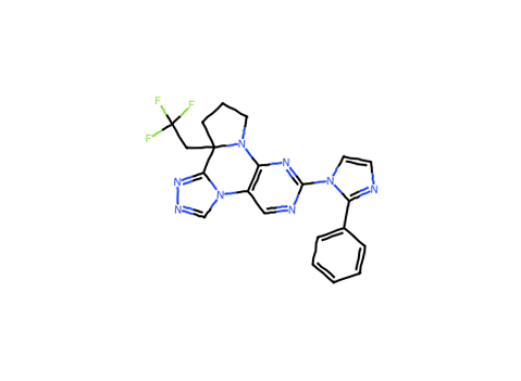 FC(F)(F)CC12CCCN1c1nc(-n3ccnc3-c3ccccc3)ncc1-n1cnnc12